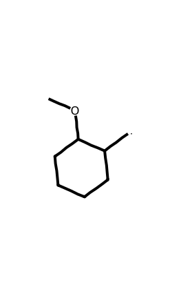 [CH2]C1CCCCC1OC